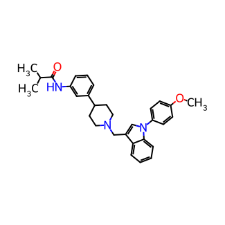 COc1ccc(-n2cc(CN3CCC(c4cccc(NC(=O)C(C)C)c4)CC3)c3ccccc32)cc1